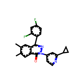 Cc1cc2c(-c3ccc(F)cc3F)nn(-c3ccnc(C4CC4)c3)c(=O)c2cc1C